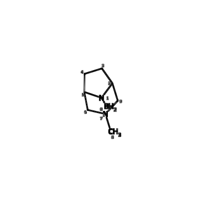 BN1C2CCC1CN(C)C2